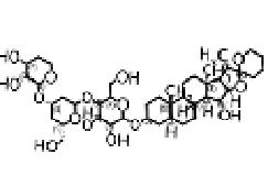 C[C@H]1C2[C@@H](O[C@]13CCCCO3)[C@@H](O)[C@H]1[C@@H]3CC[C@H]4C[C@@H](OC5O[C@H](CO)[C@H](OC6C[C@@H](O[C@@H]7OCC[C@H](O)[C@H]7O)C[C@@H](CO)O6)[C@H](O)[C@H]5O)CC[C@]4(C)C3CC[C@]21C